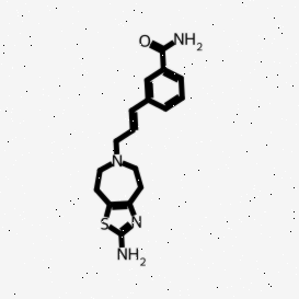 NC(=O)c1cccc(C=CCN2CCc3nc(N)sc3CC2)c1